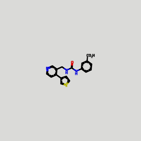 O=C(NCc1cnccc1-c1ccsc1)Nc1cccc(C(=O)O)c1